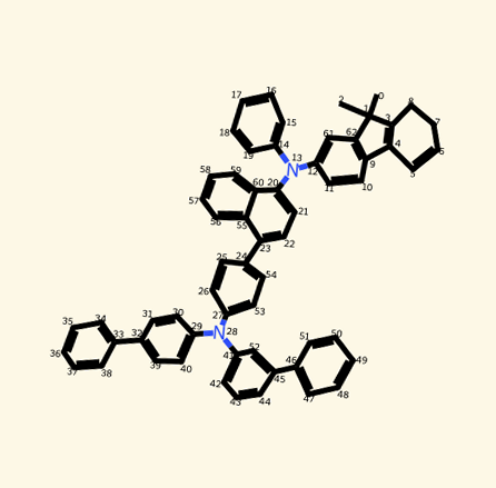 CC1(C)C2=C(C=CCC2)c2ccc(N(c3ccccc3)c3ccc(-c4ccc(N(c5ccc(-c6ccccc6)cc5)c5cccc(-c6ccccc6)c5)cc4)c4ccccc34)cc21